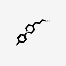 OCCCC1CCN(c2ccc(I)cc2)CC1